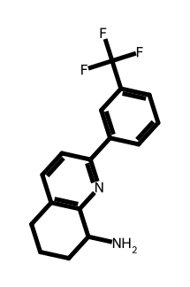 NC1CCCc2ccc(-c3cccc(C(F)(F)F)c3)nc21